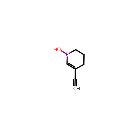 C#CC1=CP(O)CCC1